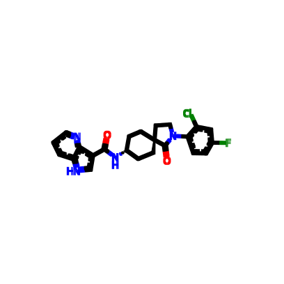 O=C(N[C@H]1CC[C@]2(CCN(c3ccc(F)cc3Cl)C2=O)CC1)c1c[nH]c2cccnc12